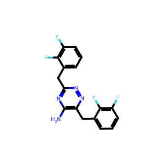 Nc1nc(Cc2cccc(F)c2F)nnc1Cc1cccc(F)c1F